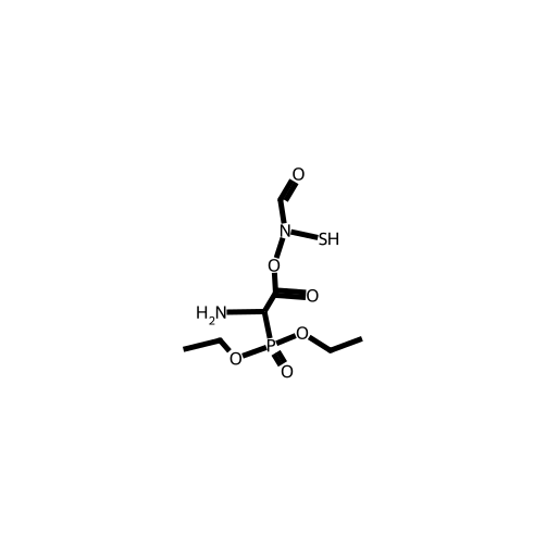 CCOP(=O)(OCC)C(N)C(=O)ON(S)C=O